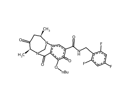 CCCCOc1c2n(cc(C(=O)NCc3c(F)cc(F)cc3F)c1=O)N1CN(C2=O)[C@@H](C)C(=O)C[C@H]1C